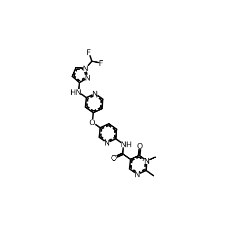 Cc1ncc(C(=O)Nc2ccc(Oc3ccnc(Nc4ccn(C(F)F)n4)c3)cn2)c(=O)n1C